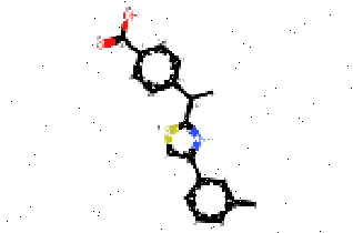 Cc1cccc(-c2csc(C(C)c3ccc(C(=O)O)cc3)n2)c1